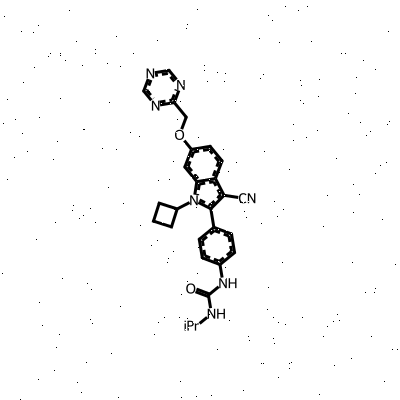 CC(C)NC(=O)Nc1ccc(-c2c(C#N)c3ccc(OCc4ncncn4)cc3n2C2CCC2)cc1